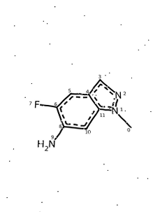 Cn1ncc2cc(F)c(N)cc21